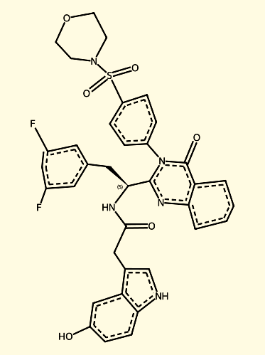 O=C(Cc1c[nH]c2ccc(O)cc12)N[C@@H](Cc1cc(F)cc(F)c1)c1nc2ccccc2c(=O)n1-c1ccc(S(=O)(=O)N2CCOCC2)cc1